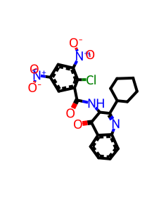 O=C(NC1C(=O)c2ccccc2N=C1C1CCCCC1)c1cc([N+](=O)[O-])cc([N+](=O)[O-])c1Cl